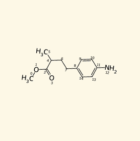 COC(=O)C(C)CCc1ccc(N)cc1